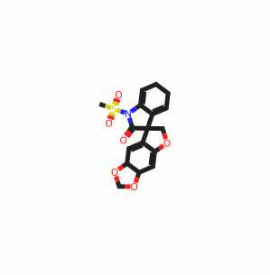 CS(=O)(=O)N1C(=O)C2(COC3=CC4OCOC4C=C32)C2=CCCC=C21